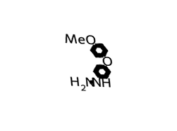 COc1ccc(Oc2ccc(NN)cc2)cc1